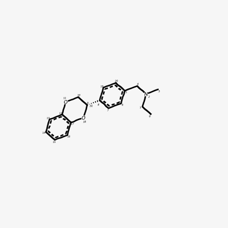 CCN(C)Cc1ccc([C@H]2COc3ccccc3O2)cc1